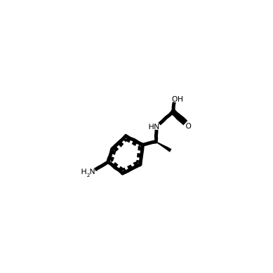 C[C@H](NC(=O)O)c1ccc(N)cc1